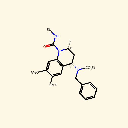 CCNC(=O)N1c2cc(OC)c(OC)cc2[C@@H](N(Cc2ccccc2)C(=O)OCC)C[C@H]1C